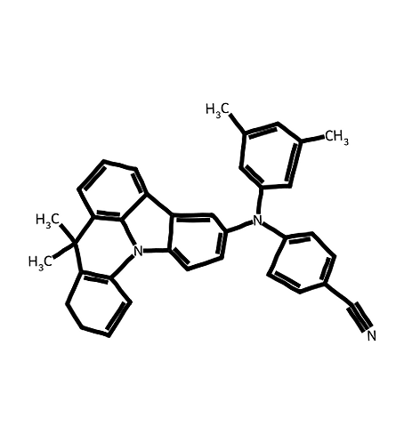 Cc1cc(C)cc(N(c2ccc(C#N)cc2)c2ccc3c(c2)c2cccc4c2n3C2=C(CCC=C2)C4(C)C)c1